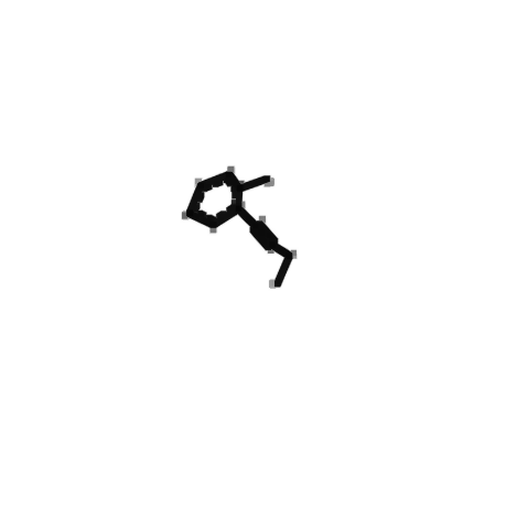 CCC#Cc1ccccc1C